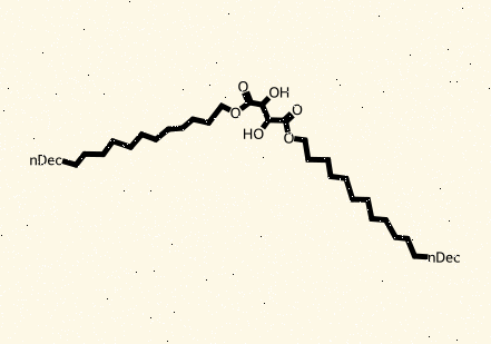 CCCCCCCCCCCCCCCCCCCCCCOC(=O)C(O)C(O)C(=O)OCCCCCCCCCCCCCCCCCCCCCC